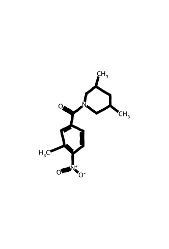 Cc1cc(C(=O)N2CC(C)CC(C)C2)ccc1[N+](=O)[O-]